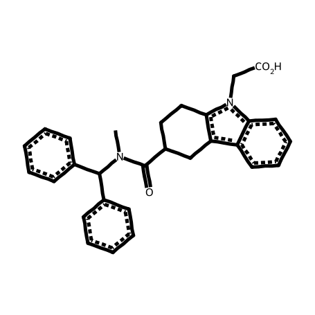 CN(C(=O)C1CCc2c(c3ccccc3n2CC(=O)O)C1)C(c1ccccc1)c1ccccc1